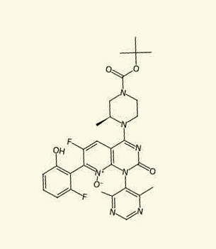 Cc1ncnc(C)c1-n1c(=O)nc(N2CCN(C(=O)OC(C)(C)C)C[C@@H]2C)c2cc(F)c(-c3c(O)cccc3F)[n+]([O-])c21